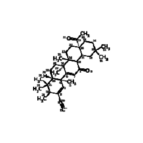 [C-]#[N+]C1=C[C@]2(C)C3=CC(=O)C4C5CC(C)(C)CC[C@]5(C(C)=O)CC[C@@]4(C)[C@]3(C)CC[C@H]2C(C)(C)C1C